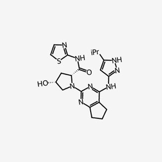 CC(C)c1cc(Nc2nc(N3C[C@H](O)C[C@@H]3C(=O)Nc3nccs3)nc3c2CCC3)n[nH]1